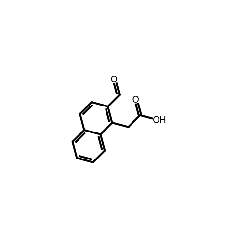 O=Cc1ccc2ccccc2c1CC(=O)O